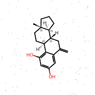 C=C1C[C@@H]2[C@H](CC[C@]3(C)CCC[C@@H]23)c2c(O)cc(O)cc21